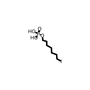 O=P(O)(O)OCCCCCCCI